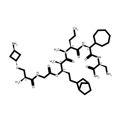 CCC[C@@H](C(=O)N[C@H](C(=O)N[C@@H](CN)C(N)=O)C1CCCCCC1)N(C)C(=O)[C@H](C)[C@@H](CCC1CC2CCC1C2)OC(=O)CNC(=O)[C@@H](C)CO[C@H]1C[C@H](N)C1